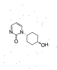 O=c1ncccn1[C@H]1CC[C@H](O)CC1